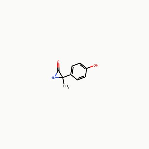 CC1(c2ccc(O)cc2)NC1=O